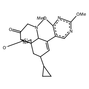 COc1ncc(C2=CC(C3CC3)CC34C=N[S+]([O-])C3C(=O)CN(F)C24)c(OC)n1